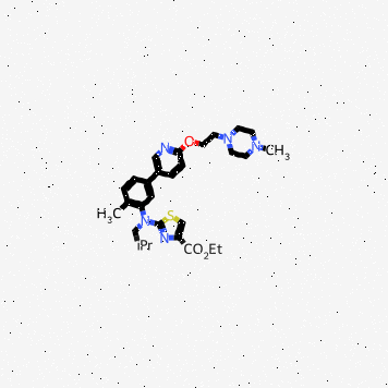 CCOC(=O)c1csc(N(CC(C)C)c2cc(-c3ccc(OCCN4CCN(C)CC4)nc3)ccc2C)n1